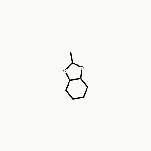 [CH2]C1OC2CCCCC2O1